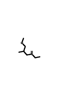 CCNCC(C)COC